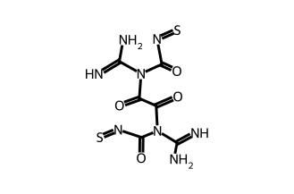 N=C(N)N(C(=O)N=S)C(=O)C(=O)N(C(=N)N)C(=O)N=S